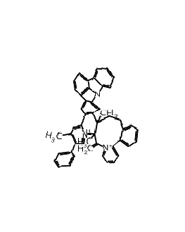 C=C1[n+]2ccccc2-c2ccccc2CCC2(C)c3cc4c(cc3-c3cc(C)c(-c5ccccc5)c[n+]3C12C)c1cccc2c3ccccc3n4c21